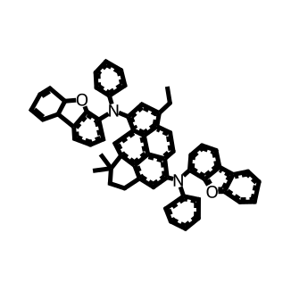 CCc1cc(N(c2ccccc2)c2cccc3c2OC2C=CC=CC32)c2cc3c4c(cc(N(c5ccccc5)c5cccc6c5oc5ccccc56)c5ccc1c2c54)CCC3(C)C